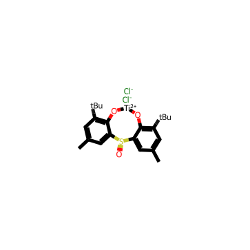 Cc1cc2c(c(C(C)(C)C)c1)[O][Ti+2][O]c1c(cc(C)cc1C(C)(C)C)S2=O.[Cl-].[Cl-]